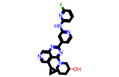 O[C@@H]1CCCN(c2nc(-c3ccnc(Nc4cccc(F)n4)c3)nc3cncc(C4CC4)c23)C1